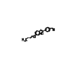 CCCCOc1ccc2cc(-c3ccc(C=O)cc3)oc2c1